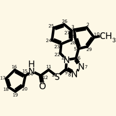 Cc1cccc(-c2nnc(SCC(=O)Nc3ccccc3)n2Cc2ccccc2)c1